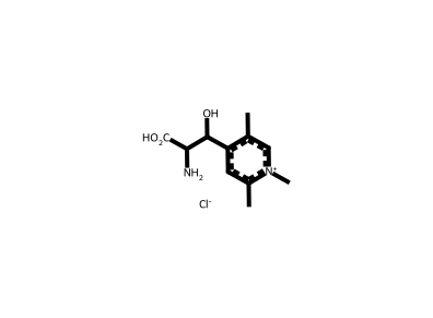 Cc1c[n+](C)c(C)cc1C(O)C(N)C(=O)O.[Cl-]